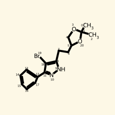 CC1(C)OCC(CCc2[nH]nc(-c3ccccc3)c2Br)O1